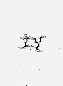 CCCCCCCCC(CCCC)COP(=O)(O)O.CCCCCCCCCCCCN(CCO)CCO